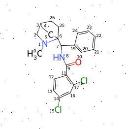 CN1CC2CCC1(C(NC(=O)c1ccc(Cl)cc1Cl)c1ccccc1)CC2